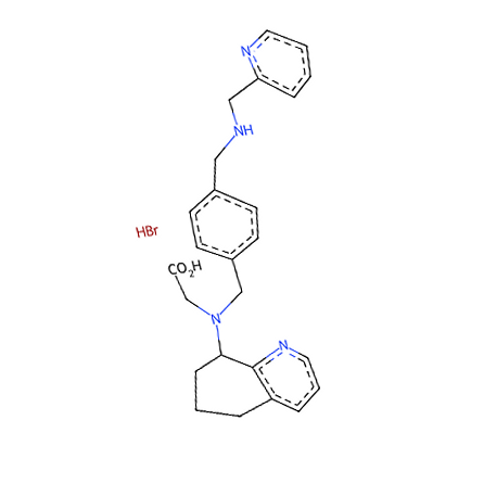 Br.O=C(O)CN(Cc1ccc(CNCc2ccccn2)cc1)C1CCCc2cccnc21